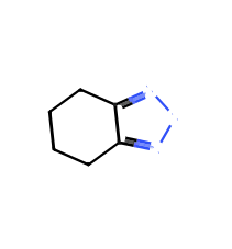 C1CCC2=N[N]N=C2C1